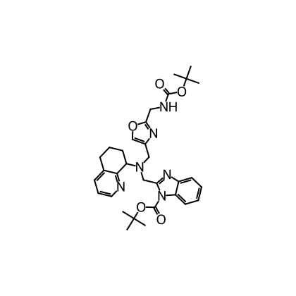 CC(C)(C)OC(=O)NCc1nc(CN(Cc2nc3ccccc3n2C(=O)OC(C)(C)C)C2CCCc3cccnc32)co1